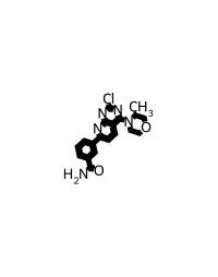 C[C@H]1COCCN1c1nc(Cl)nc2nc(-c3cccc(C(N)=O)c3)ccc12